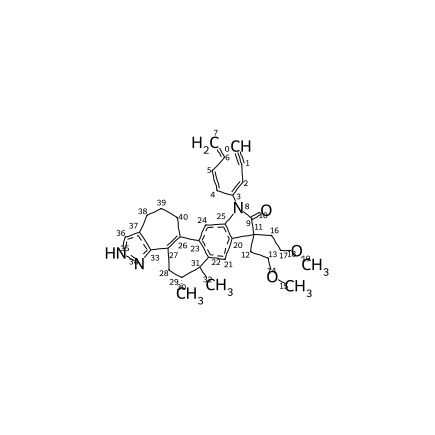 C#C/C=C(\C=C/C=C)N1C(=O)C(CCOC)(CCOC)c2cc3c(cc21)C1=C(C[C@@H](C)C3C)c2n[nH]cc2CCC1